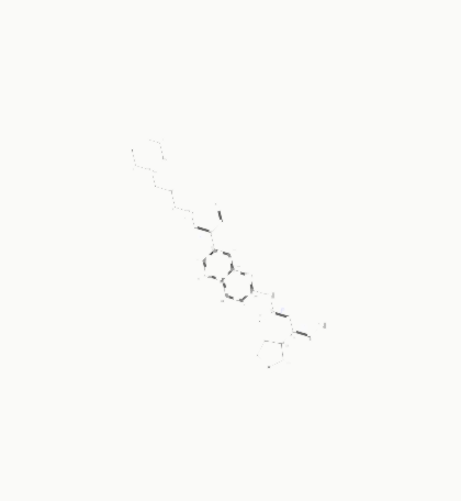 N=C/C(=C\NCCCN1CCOCC1)c1cnc2ccc(N/C(N)=C/C(=C\N)C3CCCC3)nc2c1